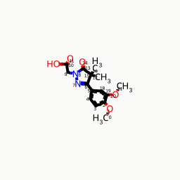 COc1ccc(C2=NN(CC(=O)O)C(=O)C2(C)C)cc1OC